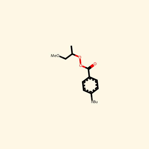 CCCCc1ccc(C(=O)OO[C](C)COC)cc1